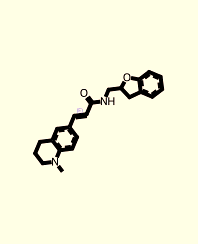 CN1CCCc2cc(/C=C/C(=O)NCC3Cc4ccccc4O3)ccc21